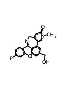 Cn1cc2c(cc1=O)CN=C(c1ccc(F)cc1Cl)c1ccc(CO)cc1-2